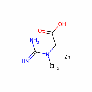 CN(CC(=O)O)C(=N)N.[Zn]